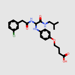 CC(C)CNC(=O)C(NC(=O)Cc1cccc(Cl)c1)Nc1ccc(OCCCC(=O)O)cc1